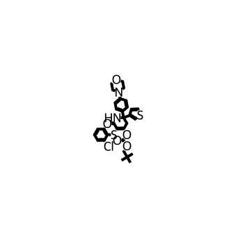 CC(C)(C)COC(=O)OC1=C(Sc2ccccc2Cl)C(=O)NC(c2ccc(N3CCOCC3)cc2)(c2ccsc2)C1